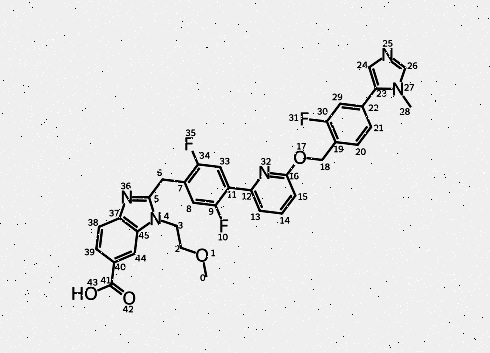 COCCn1c(Cc2cc(F)c(-c3cccc(OCc4ccc(-c5cncn5C)cc4F)n3)cc2F)nc2ccc(C(=O)O)cc21